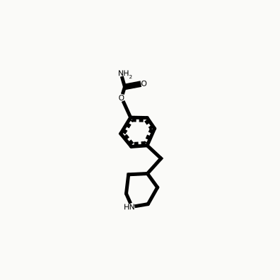 NC(=O)Oc1ccc(CC2CCNCC2)cc1